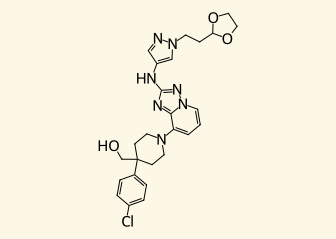 OCC1(c2ccc(Cl)cc2)CCN(c2cccn3nc(Nc4cnn(CCC5OCCO5)c4)nc23)CC1